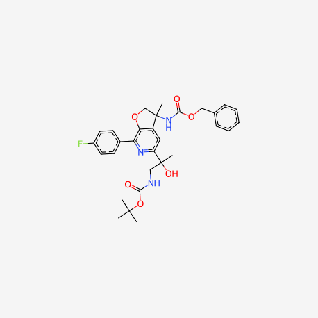 CC(C)(C)OC(=O)NCC(C)(O)c1cc2c(c(-c3ccc(F)cc3)n1)OCC2(C)NC(=O)OCc1ccccc1